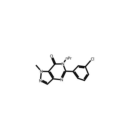 CCCn1c(-c2cccc(Cl)c2)nc2cnn(C)c2c1=O